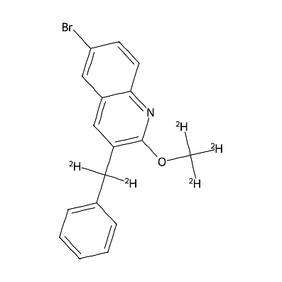 [2H]C([2H])([2H])Oc1nc2ccc(Br)cc2cc1C([2H])([2H])c1ccccc1